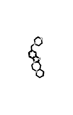 c1cc2c(cc1CN1CCOCC1)nc1n2CCN2CCCCC2C1